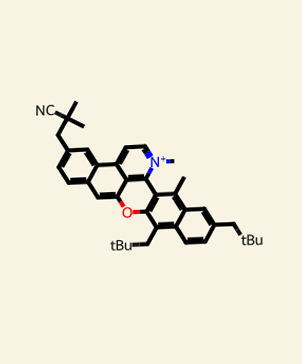 Cc1c2c(c(CC(C)(C)C)c3ccc(CC(C)(C)C)cc13)Oc1cc3ccc(CC(C)(C)C#N)cc3c3cc[n+](C)c-2c13